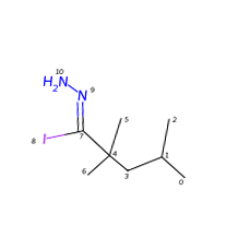 CC(C)CC(C)(C)C(I)=NN